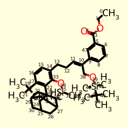 CCOC(=O)c1cccc(C(=CCCc2ccc(C(C)(C)C)c(C34CC5CC(CC(C5)C3)C4)c2O[SiH](C)C)CO[Si](C)(C)C(C)(C)C)c1